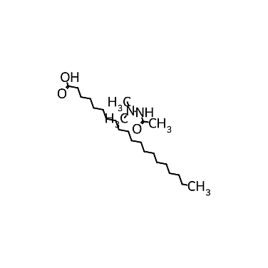 CC(=O)NN(C)C.CCCCCCCCCCCCCCCCCCCC(=O)O